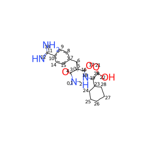 CN(C)C(=O)[C@@H](Cc1ccc(C(=N)N)cc1)C(=O)NC(C(=O)O)C1CCCCC1